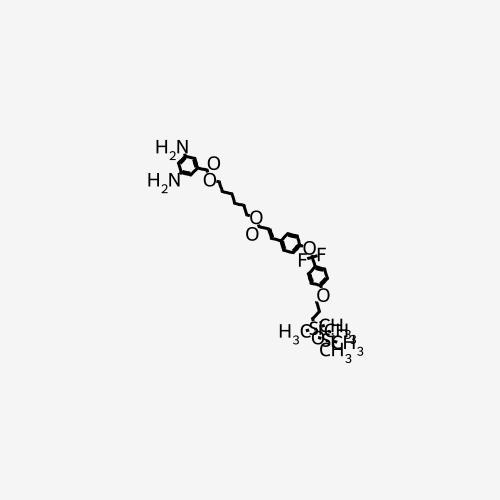 C[Si](C)(C)O[Si](C)(C)CCCOc1ccc(C(F)(F)Oc2ccc(C=CC(=O)OCCCCCCOC(=O)c3cc(N)cc(N)c3)cc2)cc1